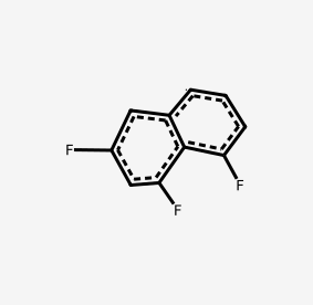 Fc1cc(F)c2c(F)cc[c]c2c1